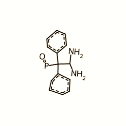 NC(N)C(P=O)(c1ccccc1)c1ccccc1